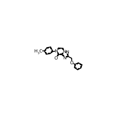 Cc1ccc(-n2ccn3nc(COc4ccccc4)nc3c2=O)cc1